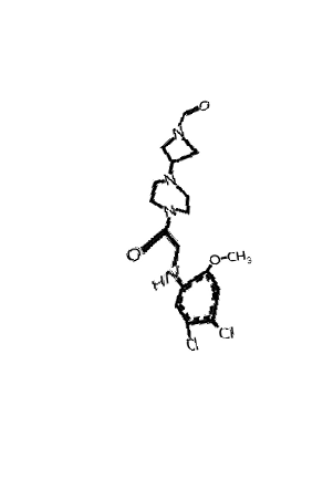 COc1cc(Cl)c(Cl)cc1NCC(=O)N1CCN(C2CN(C=O)C2)CC1